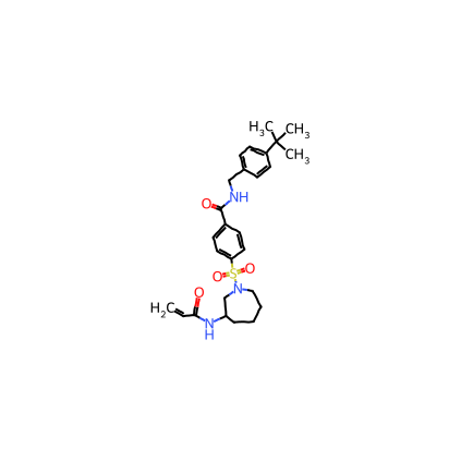 C=CC(=O)NC1CCCCN(S(=O)(=O)c2ccc(C(=O)NCc3ccc(C(C)(C)C)cc3)cc2)C1